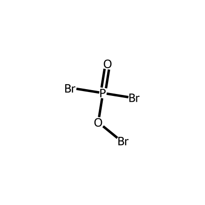 O=P(Br)(Br)OBr